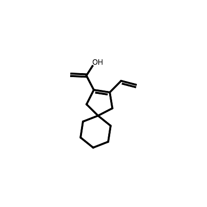 C=CC1=C(C(=C)O)CC2(CCCCC2)C1